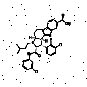 CC(C)CCN1[C@H]2CCn3c(nc4cc(C(=O)O)ccc43)[C@H]2[C@H](c2cccc(Cl)c2F)[C@@H]1C(=O)Nc1cccc(Cl)c1